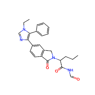 CCCC(C(=O)NC=O)N1Cc2cc(-c3ncn(CC)c3-c3ccccc3)ccc2C1=O